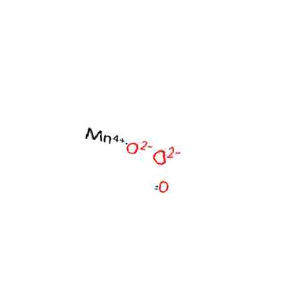 [Mn+4].[O-2].[O-2].[O]